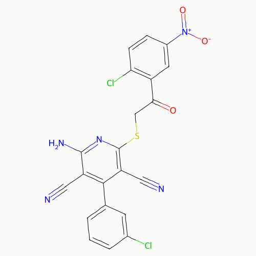 N#Cc1c(N)nc(SCC(=O)c2cc([N+](=O)[O-])ccc2Cl)c(C#N)c1-c1cccc(Cl)c1